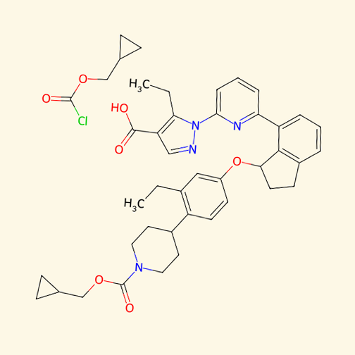 CCc1cc(OC2CCc3cccc(-c4cccc(-n5ncc(C(=O)O)c5CC)n4)c32)ccc1C1CCN(C(=O)OCC2CC2)CC1.O=C(Cl)OCC1CC1